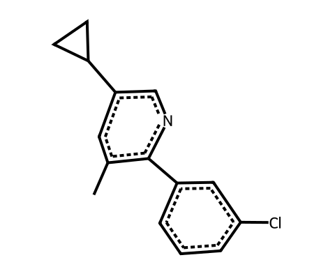 Cc1cc(C2CC2)cnc1-c1cccc(Cl)c1